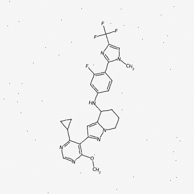 COc1ncnc(C2CC2)c1-c1cc2n(n1)CCCC2Nc1ccc(-c2nc(C(F)(F)F)cn2C)c(F)c1